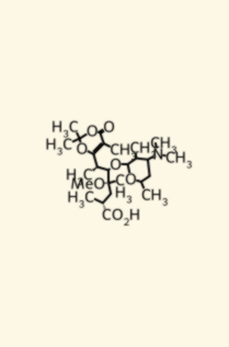 CO[C@](C)(C[C@@H](C)C(=O)O)[C@H](OC1OC(C)CC(N(C)C)C1C)[C@@H](C)C1=C(C)C(=O)OC(C)(C)O1